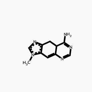 Cn1cnc2c1C=C1N=CN=C(N)C1C2